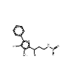 CC(=O)Oc1c(C(Br)CCN[SH](=O)=O)oc(-c2ccccc2)c1O